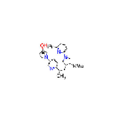 CNC1CN(c2cccc(C(C)C)n2)CC1CC(C)c1ccc(N2CC[C@@H](O)C2)cn1